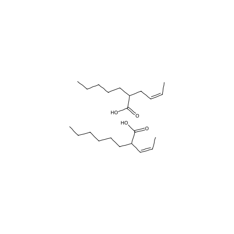 C/C=C\C(CCCCCC)C(=O)O.C/C=C\CC(CCCCC)C(=O)O